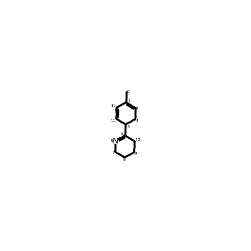 CC1=CCC(C2=NCCCC2)C=C1